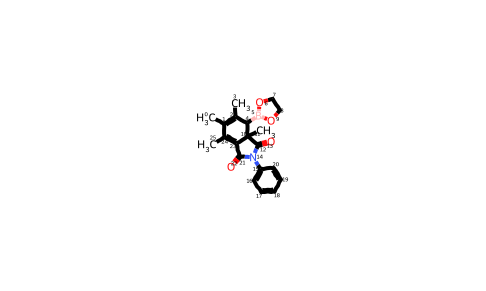 CC1=C(C)C(B2OCCO2)C2(C)C(=O)N(c3ccccc3)C(=O)C2=C1C